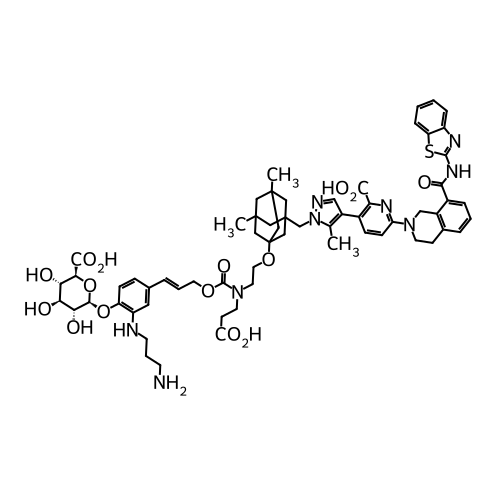 Cc1c(-c2ccc(N3CCc4cccc(C(=O)Nc5nc6ccccc6s5)c4C3)nc2C(=O)O)cnn1CC12CC3(C)CC(C)(C1)CC(OCCN(CCC(=O)O)C(=O)OC/C=C/c1ccc(O[C@@H]4O[C@H](C(=O)O)[C@@H](O)[C@H](O)[C@H]4O)c(NCCCN)c1)(C3)C2